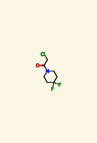 O=C(CCl)N1CCC(F)(F)CC1